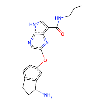 CCCNC(=O)c1c[nH]c2ncc(Oc3ccc4c(c3)[C@H](N)CC4)nc12